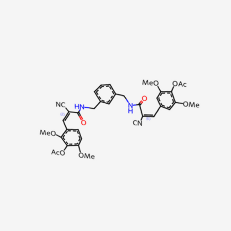 [C-]#[N+]/C(=C/c1cc(OC)c(OC(C)=O)c(OC)c1)C(=O)NCc1cccc(CNC(=O)/C(C#N)=C\c2ccc(OC)c(OC(C)=O)c2OC)c1